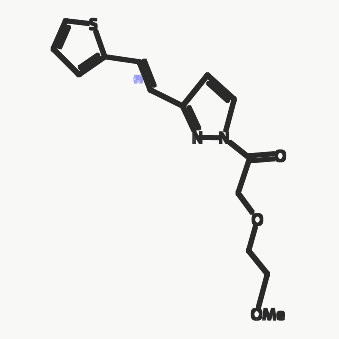 COCCOCC(=O)n1ccc(/C=C/c2cccs2)n1